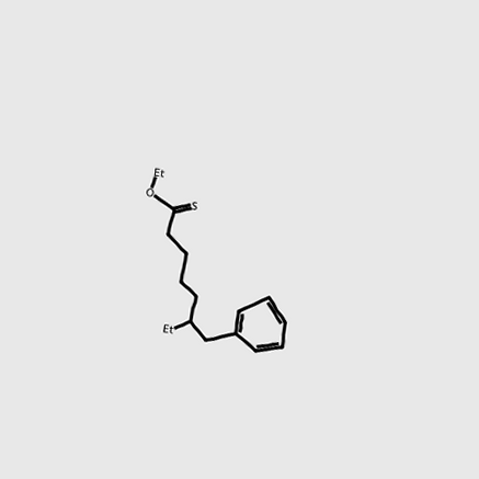 CCOC(=S)CCCCC(CC)Cc1ccccc1